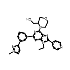 CCn1c(-c2ccncc2)nc2c(N3CCOCC3CO)nc(-c3cccc(-c4ccn(C)n4)c3)nc21